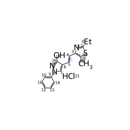 CCc1nc(/C=C/c2cn(-c3ccccc3)nc2O)c(C)s1.Cl